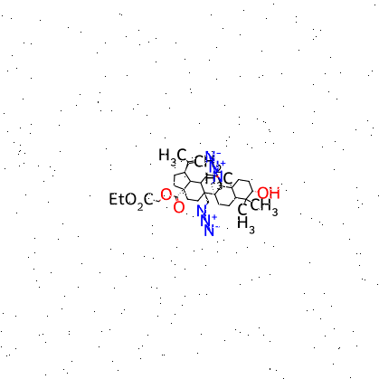 C=C(C)[C@@H]1CC[C@]2(C(=O)OCC(=O)OCC)CC[C@]3(CN=[N+]=[N-])C(CCC4[C@@]5(C)CC[C@H](O)C(C)(C)C5CC[C@]43CN=[N+]=[N-])C12